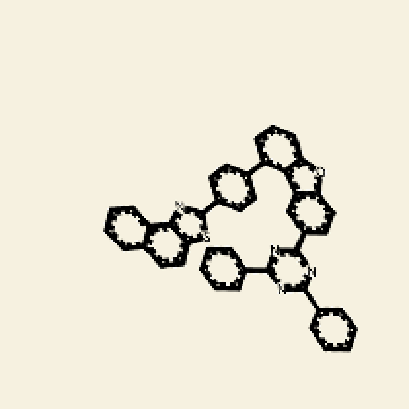 c1ccc(-c2nc(-c3ccccc3)nc(-c3ccc4oc5cccc(-c6ccc(-c7nc8c(ccc9ccccc98)s7)cc6)c5c4c3)n2)cc1